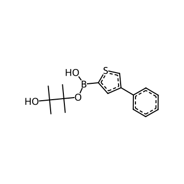 CC(C)(O)C(C)(C)OB(O)c1cc(-c2ccccc2)cs1